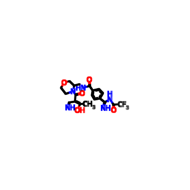 C/C(O)=C(/C=N)C(=O)N1CCOCC1CNC(=O)c1ccc(C(=N)NC(=O)C(F)(F)F)cc1